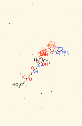 CC(C)(COP(=O)(O)OP(=O)(O)OC[C@H]1O[C@@H](n2cnc3c(N)ncnc32)[C@H](O)[C@@H]1OP(=O)(O)O)[C@@H](O)C(=O)NCCC(=O)NCCSC(=O)C(O)=CC=CC(=O)O